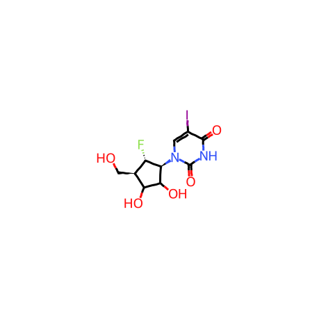 O=c1[nH]c(=O)n([C@H]2C(O)C(O)[C@@H](CO)[C@@H]2F)cc1I